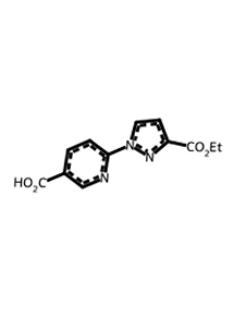 CCOC(=O)c1ccn(-c2ccc(C(=O)O)cn2)n1